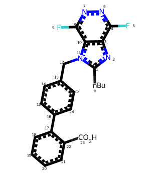 CCCCc1nc2c(F)nnc(F)c2n1Cc1ccc(-c2ccccc2C(=O)O)cc1